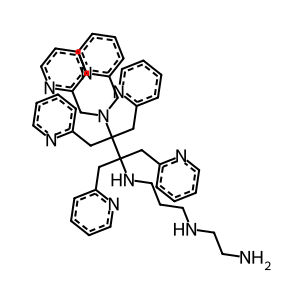 NCCNCCCNC(Cc1ccccn1)(Cc1ccccn1)C(Cc1ccccn1)(Cc1ccccn1)N(Cc1ccccn1)Cc1ccccn1